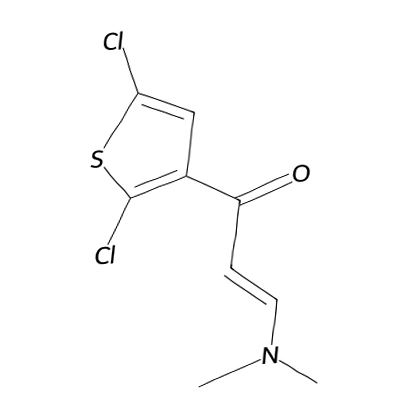 CN(C)C=CC(=O)c1cc(Cl)sc1Cl